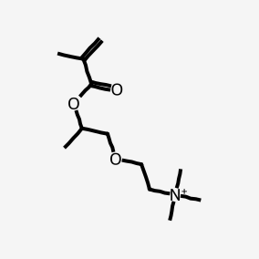 C=C(C)C(=O)OC(C)COCC[N+](C)(C)C